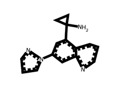 NC1(c2cc(-n3cccn3)cc3ncccc23)CC1